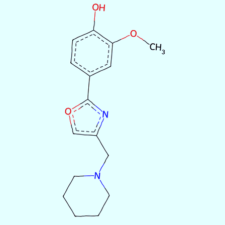 COc1cc(-c2nc(CN3CCCCC3)co2)ccc1O